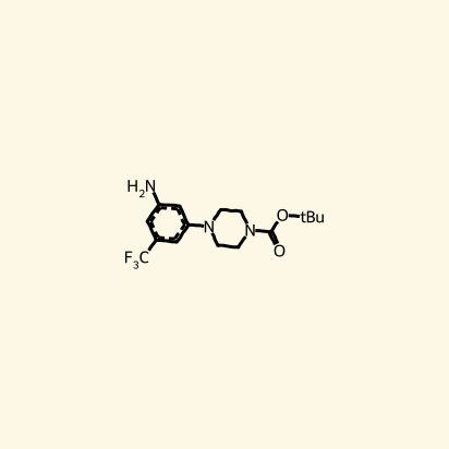 CC(C)(C)OC(=O)N1CCN(c2cc(N)cc(C(F)(F)F)c2)CC1